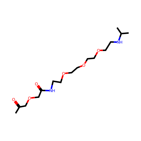 CC(=O)COCC(=O)NCCOCCOCCOCCNC(C)C